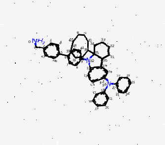 NCc1ccc(-c2ccc(N3c4ccc(N(c5ccccc5)c5ccccc5)cc4C4CCCCC43C3CCCCCCC3)cc2)cc1